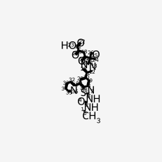 CCNC(=O)Nc1nc2cc(-c3cnc(C4(C(=O)CC(=O)C(=O)O)COC4)nc3)cc(-c3ccccn3)c2s1